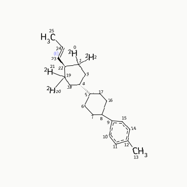 [2H]C1([2H])C[C@H](C2CCC(c3ccc(C)cc3)CC2)CC([2H])([2H])[C@H]1/C=C/C